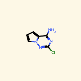 Nc1nc(Cl)nn2cccc12